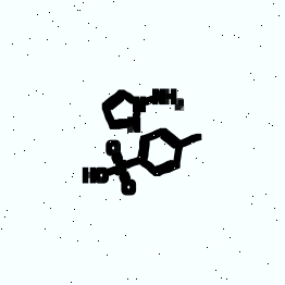 Cc1ccc(S(=O)(=O)O)cc1.Nn1cccn1